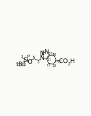 CC(C)(C)[Si](C)(C)OCCn1nnc2c1CCC(C(=O)O)C2